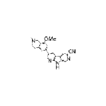 COc1cc(-c2cnc3[nH]c4cnc(C#N)cc4c3c2)cc2c1CN(C)CC2